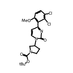 COc1ccc(Cl)c(Cl)c1-c1ccn(C2CCN(C(=O)OC(C)(C)C)C2)c(=O)n1